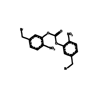 O=C(Oc1cc(CBr)ccc1[N+](=O)[O-])Oc1cc(CBr)ccc1[N+](=O)[O-]